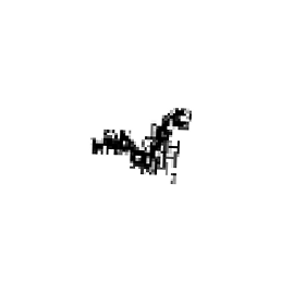 N=C(C(=O)Nc1ccc(CN2CCOCC2)nc1)c1cc(-c2cncc(NC(=O)C3CC3)c2)ccc1N